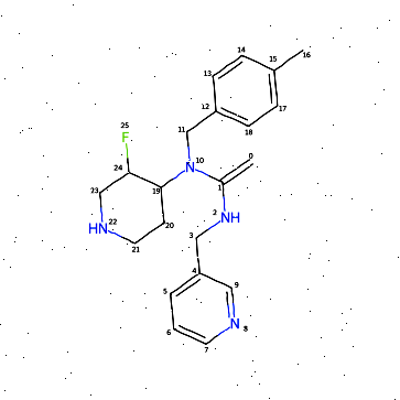 C=C(NCc1cccnc1)N(Cc1ccc(C)cc1)C1CCNCC1F